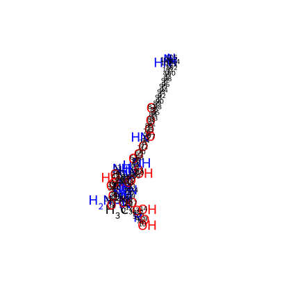 C[C@H](CCCCN(CC(=O)O)CC(=O)O)NC(=O)[C@H](CC1=CCC=N1)NC(=O)[C@H](CCC(N)=O)NC(=O)[C@H](CO)NC(=O)[C@H](CO)NC(=O)[C@H](CCC(N)=O)NC(=O)[C@@H](CO)NC(=O)CNC(=O)COCCOCCNC(=O)COCCOCCCC(=O)CCCCCCCCCCCCCCCc1nnn[nH]1